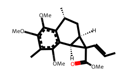 C/C=C/C1(C(=O)OC)[C@@H]2C[C@@H](C)c3c(OC)c(OC)c(C)c(OC)c3[C@@H]21